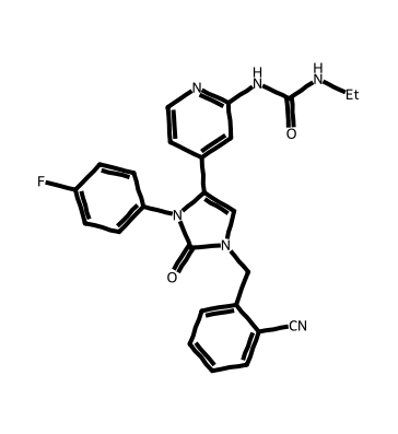 CCNC(=O)Nc1cc(-c2cn(Cc3ccccc3C#N)c(=O)n2-c2ccc(F)cc2)ccn1